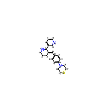 C(=C1CCCN=C1c1cccnc1)c1ccc(N2CCSCC2)cc1